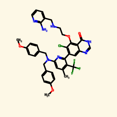 COc1ccc(CN(Cc2ccc(OC)cc2)c2cc(C)c(C(F)(F)F)c(-c3cc4nc[nH]c(=O)c4c(OCCNCc4cccnc4N)c3Cl)n2)cc1